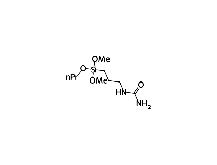 CCCO[Si](CCCNC(N)=O)(OC)OC